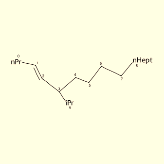 [CH2]CCC=CC(CCCCCCCCCC[CH2])C(C)C